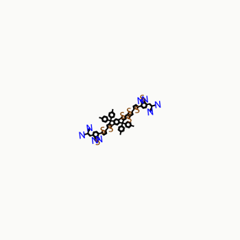 Cc1ccc(C2(c3ccc(C)cc3)c3cc4c(cc3-c3sc(-c5ccc(-c6ccc(C=C(C#N)C#N)c7nsnc67)s5)cc32)C(c2ccc(C)cc2)(c2ccc(C)cc2)c2c-4sc3c2sc2cc(-c4ccc(-c5ccc(C=C(C#N)C#N)c6nsnc56)s4)sc23)cc1